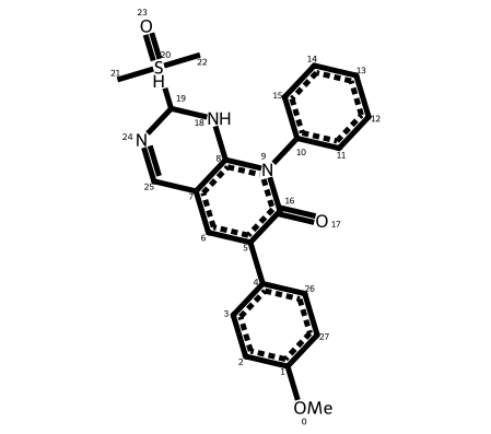 COc1ccc(-c2cc3c(n(-c4ccccc4)c2=O)NC([SH](C)(C)=O)N=C3)cc1